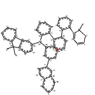 CC1CC=CC=C1c1ccccc1-c1ccccc1-c1ccccc1N(c1cccc(-c2ccc3ccccc3c2)c1)c1ccc2c(c1)-c1ccccc1C2(C)C